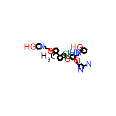 Cc1c(OCCCN2CCC(O)CC2)cccc1-c1cccc2c1CC[C@@H]2Oc1cc(OCc2cncc(C#N)c2)c(CN[C@@H]2CCCC[C@H]2O)cc1Cl